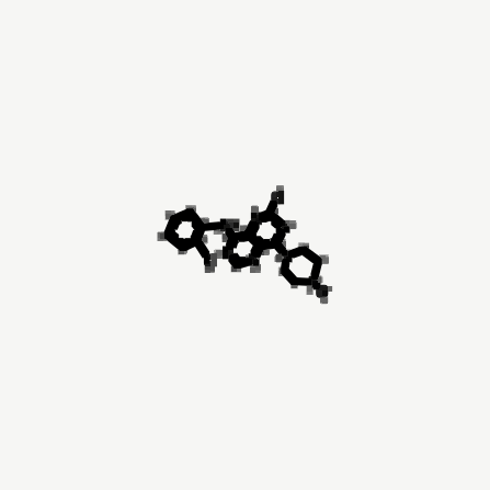 [O-][S+]1CCN(c2nc(Cl)nc3c(Nc4ccccc4Cl)ncnc23)CC1